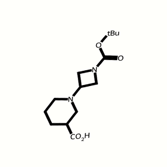 CC(C)(C)OC(=O)N1CC(N2CCCC(C(=O)O)C2)C1